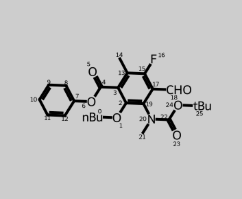 CCCCOc1c(C(=O)Oc2ccccc2)c(C)c(F)c(C=O)c1N(C)C(=O)OC(C)(C)C